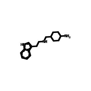 NC1CCC(CNCCc2c[nH]c3ccccc23)CC1